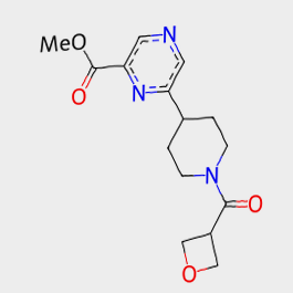 COC(=O)c1cncc(C2CCN(C(=O)C3COC3)CC2)n1